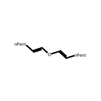 CCCCCC=COC=CCCCCC